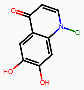 O=c1ccn(Cl)c2cc(O)c(O)cc12